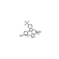 Cc1noc(C)c1-c1c(C=NO)c2ccc(C(F)(F)F)cc2n1-c1ccc(O)cc1